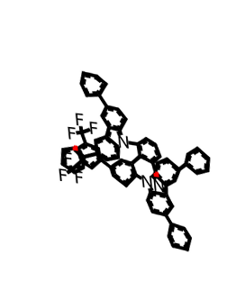 N#Cc1cccc(-n2c3ccc(-c4ccccc4)cc3c3cc(-c4ccccc4)ccc32)c1-c1cc(-c2cc(C(F)(F)F)cc(C(F)(F)F)c2)ccc1-n1c2ccc(-c3ccccc3)cc2c2cc(-c3ccccc3)ccc21